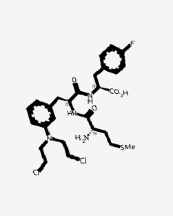 CSCC[C@H](N)C(=O)N[C@@H](Cc1cccc(N(CCCl)CCCl)c1)C(=O)N[C@@H](Cc1ccc(F)cc1)C(=O)O